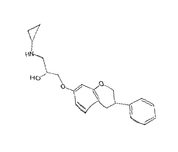 OC(CNC1CC1)COc1ccc2c(c1)OCC(c1ccccc1)C2